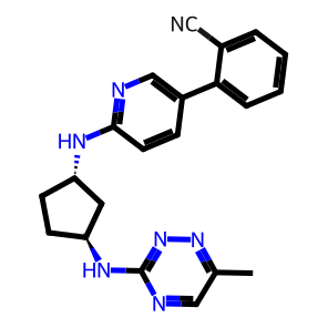 Cc1cnc(N[C@H]2CC[C@H](Nc3ccc(-c4ccccc4C#N)cn3)C2)nn1